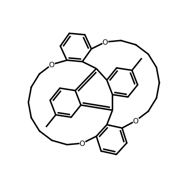 Cc1ccc2c3c4cc(C)ccc4c(c2c1)-c1c2cccc1OCCCCCCCOc1cccc(c1-3)OCCCCCCCO2